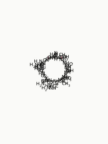 CCCC[C@H]1C(=O)N(C)[C@@H](CCCC)C(=O)N[C@@H](CCCNC(=N)N)C(=O)N[C@H](C(=O)NCC(N)=O)CSCC(=O)N[C@@H](Cc2ccc(N=C(N)N)cc2)C(=O)N(C)[C@@H](C)C(=O)NC(CC(N)=O)C(=O)N2CCC[C@H]2C(O)N[C@@H](Cc2cnc[nH]2)C(=O)N[C@@H](CC(C)C)C(=O)N2C[C@H](O)CC2C(=O)N[C@@H](Cc2c[nH]c3ccccc23)C(=O)N[C@@H](CO)C(=O)N[C@@H](Cc2c[nH]c3ccccc23)C(=O)N1C